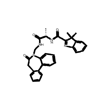 C[C@H](NC(=O)C1=Nc2ccccc2C1(C)C)C(=O)NCN1C(=O)Cc2ccccc2-c2ccccc21